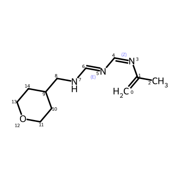 C=C(C)/N=C\N=C\NCC1CCOCC1